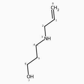 C=CCN[CH]CCO